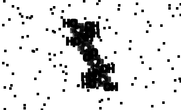 O=S(=O)(c1ccc(C(O)Nc2ccc(O)cc2C(O)O)cc1)c1ccc(C(O)Nc2ccc(O)cc2C(O)O)cc1